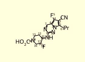 CC(C)c1c(C#N)c(F)c2cnc(N[C@@H]3CCN(C(=O)O)C[C@H]3F)nn12